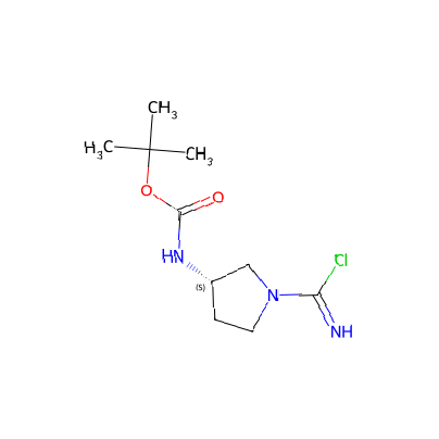 CC(C)(C)OC(=O)N[C@H]1CCN(C(=N)Cl)C1